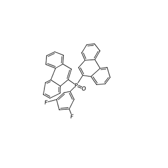 O=P(c1cc(F)cc(F)c1)(c1cc2ccccc2c2ccccc12)c1cc2ccccc2c2ccccc12